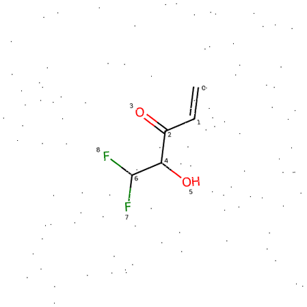 C=CC(=O)C(O)C(F)F